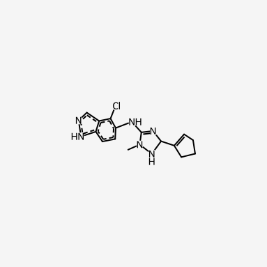 CN1NC(C2=CCCC2)N=C1Nc1ccc2[nH]ncc2c1Cl